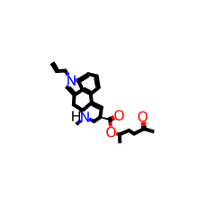 C=CCn1cc2c3c(cccc31)C1=C[C@@H](C(=O)OC(C)CCC(C)=O)CN(C)[C@@H]1C2